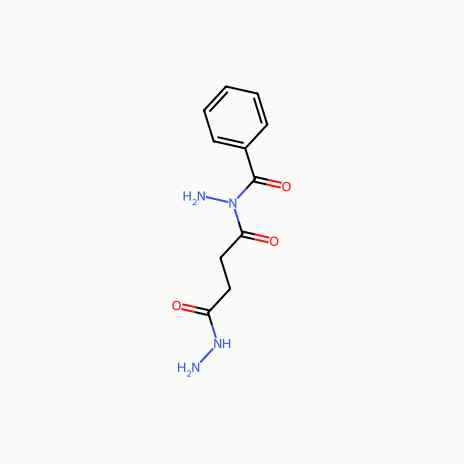 NNC(=O)CCC(=O)N(N)C(=O)c1ccccc1